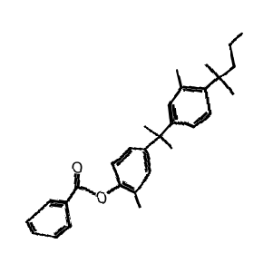 CCCC(C)(C)c1ccc(C(C)(C)c2ccc(OC(=O)c3ccccc3)c(C)c2)cc1C